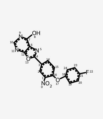 O=[N+]([O-])c1cc(-c2nc3c(O)ncnc3o2)ccc1Oc1ccc(F)cc1